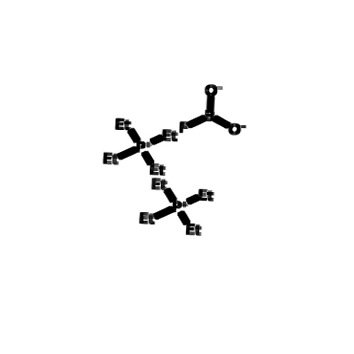 CC[P+](CC)(CC)CC.CC[P+](CC)(CC)CC.[O-]B([O-])F